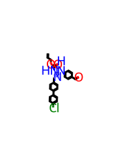 C=CCOC(=O)N/C(=N\Cc1ccc(-c2ccc(Cl)cc2)cc1)Nc1ccc(C=O)cc1